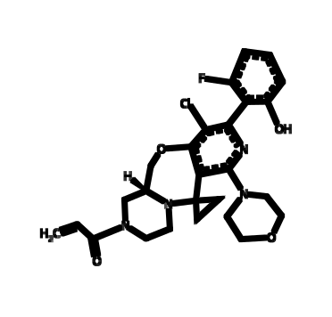 C=CC(=O)N1CCN2[C@@H](COc3c(Cl)c(-c4c(O)cccc4F)nc(N4CCOCC4)c3C23CC3)C1